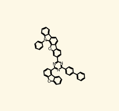 c1ccc(-c2ccc(-c3nc(-c4ccc5c(c4)oc4c5ccc5c6ccccc6n(-c6ccccc6)c54)nc(-c4cccc5oc6ccccc6c45)n3)cc2)cc1